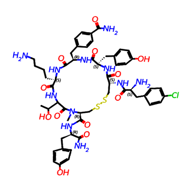 CC(O)C1NC(=O)[C@H](CCCCN)NC(=O)[C@@H](Cc2ccc(C(N)=O)cc2)NC(=O)[C@H](Cc2ccc(O)cc2)NC(=O)[C@H](NC(=O)[C@@H](N)Cc2ccc(Cl)cc2)CSSC[C@@H](C(=O)N[C@H](Cc2ccc(O)cc2)C(N)=O)N(C)C1=O